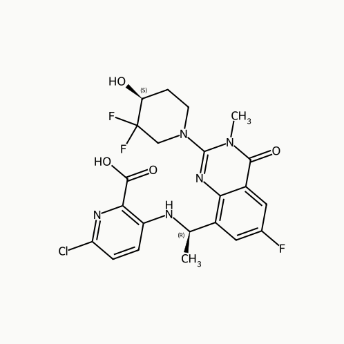 C[C@@H](Nc1ccc(Cl)nc1C(=O)O)c1cc(F)cc2c(=O)n(C)c(N3CC[C@H](O)C(F)(F)C3)nc12